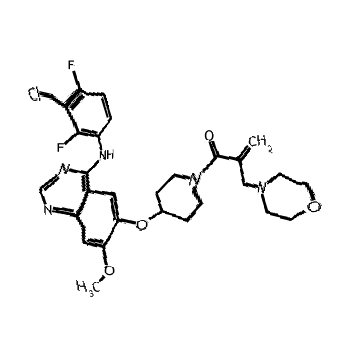 C=C(CN1CCOCC1)C(=O)N1CCC(Oc2cc3c(Nc4ccc(F)c(Cl)c4F)ncnc3cc2OC)CC1